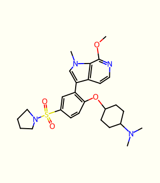 COc1nccc2c(-c3cc(S(=O)(=O)N4CCCC4)ccc3OC3CCC(N(C)C)CC3)cn(C)c12